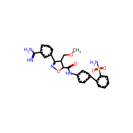 COCC1C(c2cccc(C(=N)N)c2)=NOC1C(=O)Nc1ccc(-c2ccccc2S(N)(=O)=O)cc1